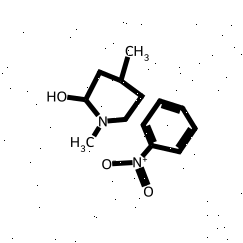 CC1CCN(C)C(O)C1.O=[N+]([O-])c1ccccc1